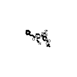 CSc1nc2c(c(N3CCN(C(=O)CCc4ccccc4)[C@@H](CC#N)C3)n1)CCN(C(=O)OC(C)(C)C)C2